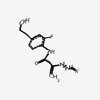 C=C(N=[N+]=[N-])C(=O)Nc1ccc(CO)cc1F